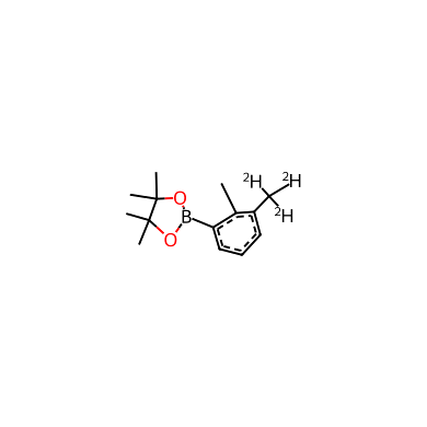 [2H]C([2H])([2H])c1cccc(B2OC(C)(C)C(C)(C)O2)c1C